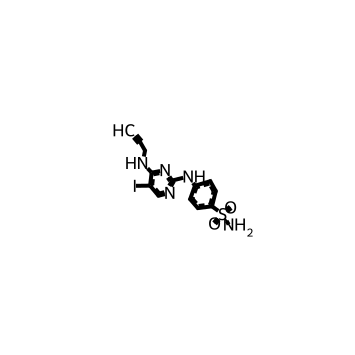 C#CCNc1nc(Nc2ccc(S(N)(=O)=O)cc2)ncc1I